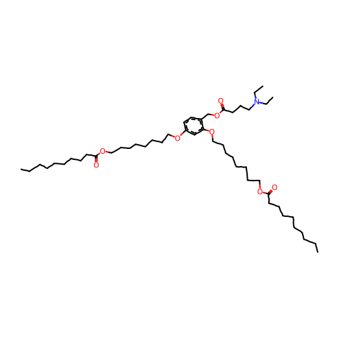 CCCCCCCCCC(=O)OCCCCCCCCOc1ccc(COC(=O)CCCN(CC)CC)c(OCCCCCCCCOC(=O)CCCCCCCCC)c1